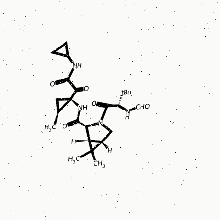 C[C@H]1C[C@]1(NC(=O)[C@@H]1[C@@H]2[C@H](CN1C(=O)[C@@H](NC=O)C(C)(C)C)C2(C)C)C(=O)C(=O)NC1CC1